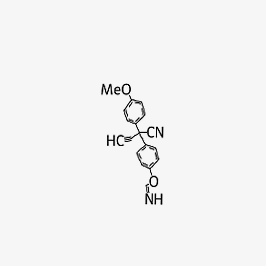 C#CC(C#N)(c1ccc(OC)cc1)c1ccc(OC=N)cc1